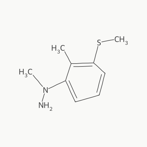 CSc1cccc(N(C)N)c1C